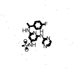 CC(Nc1cc(NS(C)(=O)=O)cc(Nc2cnccn2)n1)c1ccc(F)cc1